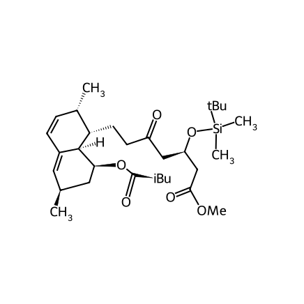 CC[C@H](C)C(=O)O[C@H]1C[C@@H](C)C=C2C=C[C@H](C)[C@H](CCC(=O)C[C@H](CC(=O)OC)O[Si](C)(C)C(C)(C)C)[C@H]21